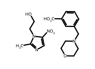 Cc1ncc([N+](=O)[O-])n1CCO.O=C(O)c1cccc(CN2CCOCC2)c1